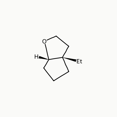 CC[C@@]12CCC[C@@H]1OCC2